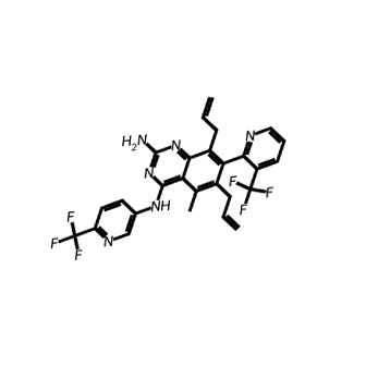 C=CCc1c(-c2ncccc2C(F)(F)F)c(CC=C)c2nc(N)nc(Nc3ccc(C(F)(F)F)nc3)c2c1C